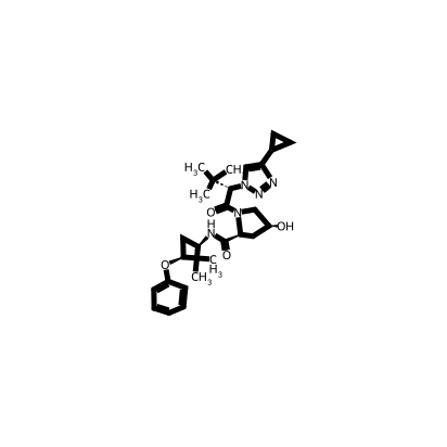 CC(C)(C)[C@@H](C(=O)N1C[C@H](O)C[C@H]1C(=O)N[C@@H]1C[C@H](Oc2ccccc2)C1(C)C)n1cc(C2CC2)nn1